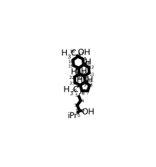 CC(C)C(O)CCC[C@H]1CC[C@H]2[C@@H]3CC[C@H]4C[C@@](C)(O)CC[C@@H]4[C@H]3CC[C@]12C